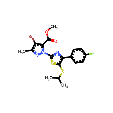 COC(=O)c1c(Br)c(C)nn1-c1nc(-c2ccc(F)cc2)c(SC(C)C)s1